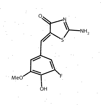 COc1cc(/C=C2\SC(N)=NC2=O)cc(F)c1O